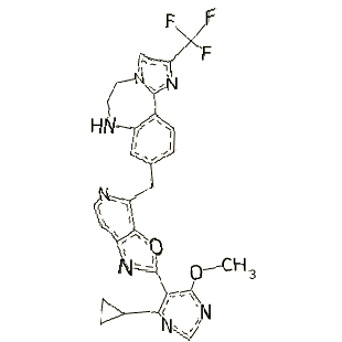 COc1ncnc(C2CC2)c1-c1nc2ccnc(Cc3ccc4c(c3)NCCn3cc(C(F)(F)F)nc3-4)c2o1